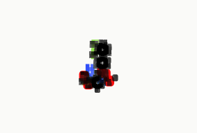 COC(=O)N1CCC[C@H](NS(C)(=O)=O)[C@@H]1CO[C@H]1CC[C@@H](c2cccc(F)c2F)CC1